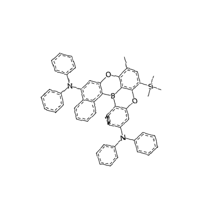 Cc1cc([Si](C)(C)C)c2c3c1Oc1cc(N(c4ccccc4)c4ccccc4)c4ccccc4c1B3c1c(cc(N(c3ccccc3)c3ccccc3)c3ccccc13)O2